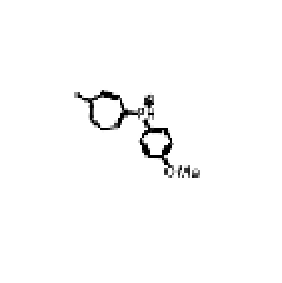 COc1ccc([PH](=O)C2=CCC=C(C)C=C2)cc1